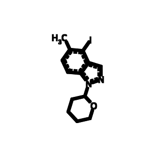 Cc1ccc2c(cnn2C2CCCCO2)c1I